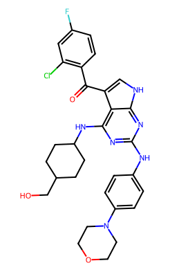 O=C(c1ccc(F)cc1Cl)c1c[nH]c2nc(Nc3ccc(N4CCOCC4)cc3)nc(NC3CCC(CO)CC3)c12